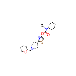 O=C(Oc1csc(C2CCN(CC3CCCCO3)CC2)n1)N(C1CCCCC1)C1CC1